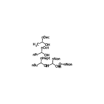 CCCCCCCC(O)CCCC.CCCCCCCCC(O)CCC.CCCCCCCCCC(O)CC.CCCCCCCCCCC(C)O.CCCCCCCCCO